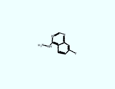 NNc1ncnc2cc(F)ccc12